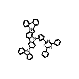 c1ccc(-c2nc(-c3ccccc3)nc(-c3cccc(-n4c5ccc(-n6c7ccccc7c7ccccc76)cc5c5ccc6c(cc7c8ccccc8c8ccccc8n76)c54)c3)n2)cc1